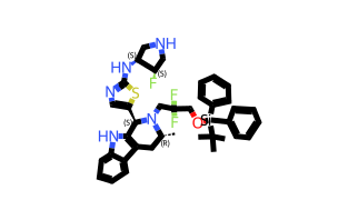 C[C@@H]1Cc2c([nH]c3ccccc23)[C@@H](c2cnc(N[C@H]3CNC[C@@H]3F)s2)N1CC(F)(F)CO[Si](c1ccccc1)(c1ccccc1)C(C)(C)C